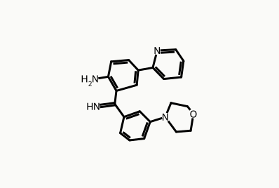 N=C(c1cccc(N2CCOCC2)c1)c1cc(-c2ccccn2)ccc1N